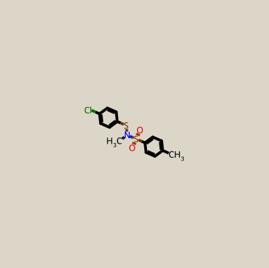 Cc1ccc(S(=O)(=O)N(C)Sc2ccc(Cl)cc2)cc1